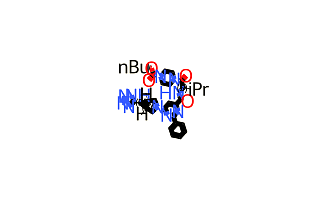 CCCCOC(=O)N1CCN(C(=O)[C@@H](NC(=O)c2cc(N3C[C@@H]4[C@H](C3)[C@H]4c3nnn[nH]3)nc(-c3ccccc3)n2)C(C)C)CC1